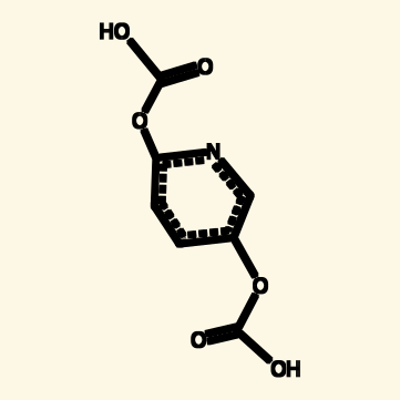 O=C(O)Oc1ccc(OC(=O)O)nc1